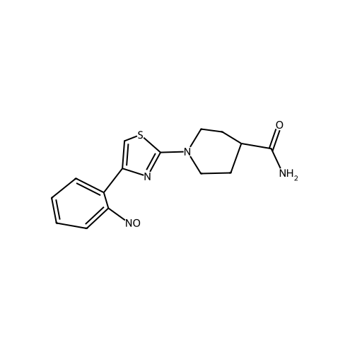 NC(=O)C1CCN(c2nc(-c3ccccc3N=O)cs2)CC1